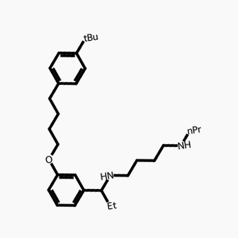 CCCNCCCCNC(CC)c1cccc(OCCCCc2ccc(C(C)(C)C)cc2)c1